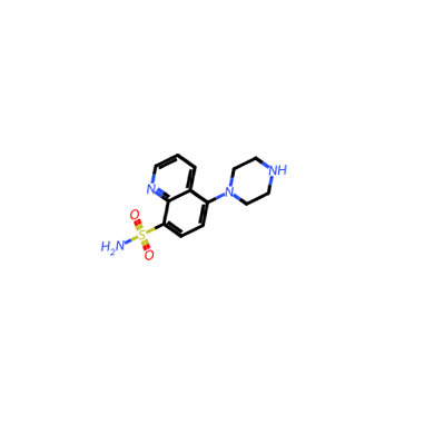 NS(=O)(=O)c1ccc(N2CCNCC2)c2cccnc12